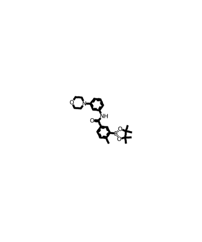 Cc1ccc(C(=O)Nc2cccc(N3CCOCC3)c2)cc1B1OC(C)(C)C(C)(C)O1